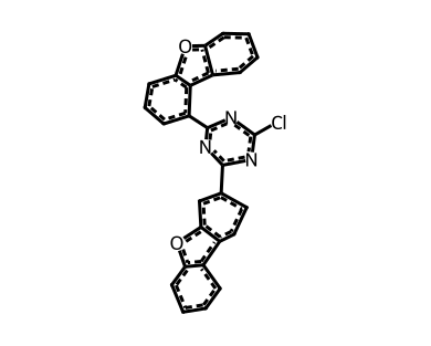 Clc1nc(-c2ccc3c(c2)oc2ccccc23)nc(-c2cccc3oc4ccccc4c23)n1